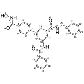 O=C(NO)c1ccc(-c2cc(NC(=O)c3ccccc3)cc(C(=O)NCc3ccccc3)c2)cc1